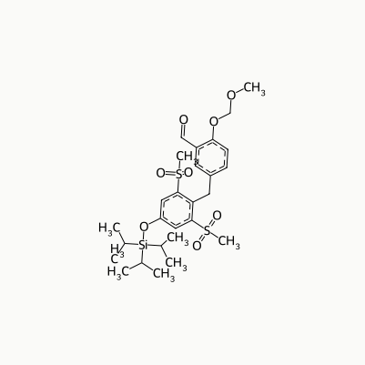 COCOc1ccc(Cc2c(S(C)(=O)=O)cc(O[Si](C(C)C)(C(C)C)C(C)C)cc2S(C)(=O)=O)cc1C=O